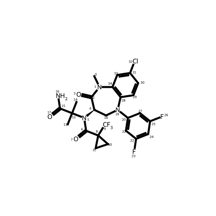 CN1C(=O)[C@H](N(C(=O)C2(C(F)(F)F)CC2)C(C)(C)C(N)=O)CN(c2cc(F)cc(F)c2)c2ccc(Cl)cc21